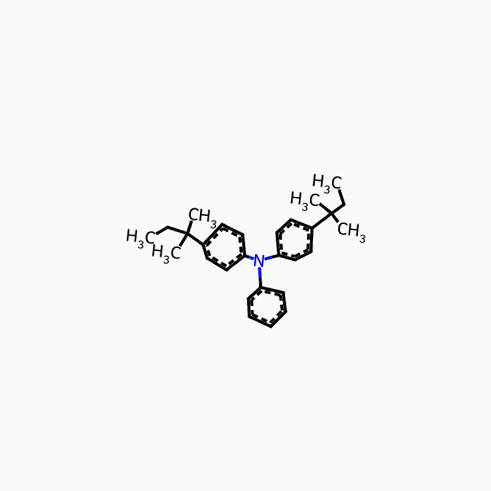 CCC(C)(C)c1ccc(N(c2ccccc2)c2ccc(C(C)(C)CC)cc2)cc1